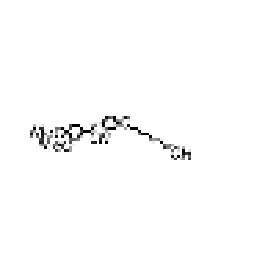 COc1ccc(C(C#N)=Cc2ccc(OCCCCCCCCO)cc2)cc1OC